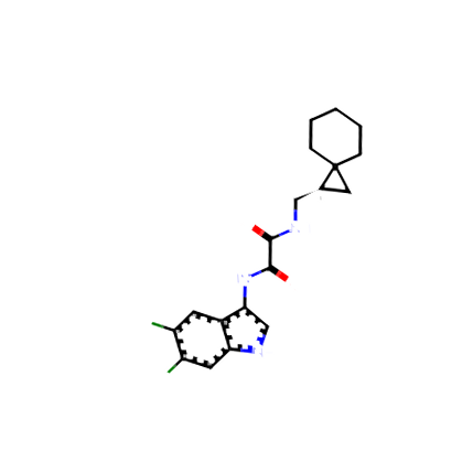 O=C(NC[C@@H]1CC12CCCCC2)C(=O)Nc1c[nH]c2cc(F)c(F)cc12